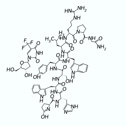 CC(C)C[C@H](NC(=O)[C@@H](Cc1c[nH]c2ccccc12)NC(=O)[C@H](Cc1ccc(O)cc1)NC(=O)[C@H](CO)NC(=O)[C@H](Cc1c[nH]c2ccccc12)NC(=O)[C@H](Cc1cnc[nH]1)NC(=O)[C@@H]1CCC(O)=N1)C(=O)N[C@@H](CCCNC(=N)N)C(=O)N1CCC[C@H]1C(=O)NCC(N)=O.O=c1[nH]c(=O)n([C@H]2C[C@H](O)[C@@H](CO)O2)cc1C(F)(F)F